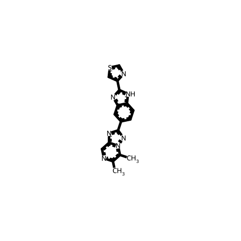 Cc1ncc2nc(-c3ccc4[nH]c(-c5cscn5)nc4c3)nn2c1C